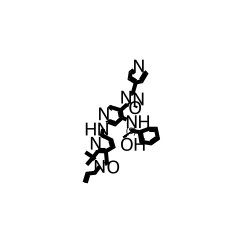 C=CCN1C(=O)c2ccc(Nc3cc(N[C@H](CO)c4ccccc4)c(-c4nc(-c5ccncc5)no4)cn3)nc2C1(C)C